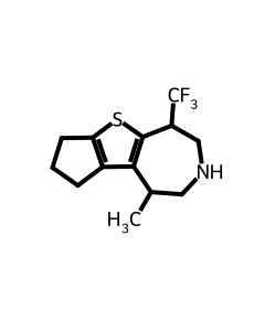 CC1CNCC(C(F)(F)F)c2sc3c(c21)CCC3